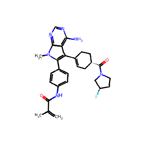 C=C(C)C(=O)Nc1ccc(-c2c(C3=CC[C@@H](C(=O)N4CC[C@@H](F)C4)CC3)c3c(N)ncnc3n2C)cc1